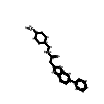 O=C(Cc1nc2ccc(-c3ccccc3)cc2s1)NCC1CCC(C(=O)O)CC1